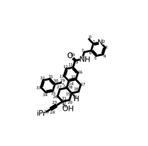 Cc1ncccc1CNC(=O)c1ccc2c(c1)CC[C@@H]1C[C@@](O)(C#CC(C)C)CC[C@@]21Cc1ccccc1